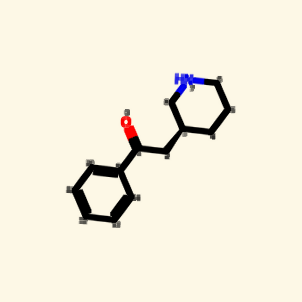 O=C(C[C@@H]1CCCNC1)c1ccccc1